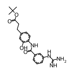 CC(C)(C)OC(=O)CCc1ccc(NC(=O)c2cccc(NC(=N)N)c2)c(O)c1